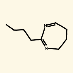 CCCCC1=NCCCC=N1